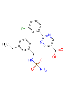 CCc1cccc(CNS(N)(=O)=O)c1.O=C(O)c1cnc(-c2cccc(F)c2)nc1